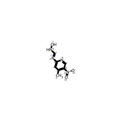 Cc1cc(/N=C/NO)ncc1[N+](=O)[O-]